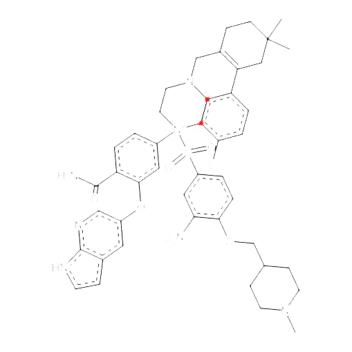 CN1CCC(COc2ccc(S(=O)(=O)[N+]3(c4ccc(C(N)=O)c(Oc5cnc6[nH]ccc6c5)c4)CCN(CC4=C(c5ccc(Cl)cc5)CC(C)(C)CC4)CC3)cc2[N+](=O)[O-])CC1